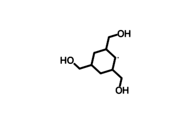 OCC1[CH]C(CO)CC(CO)C1